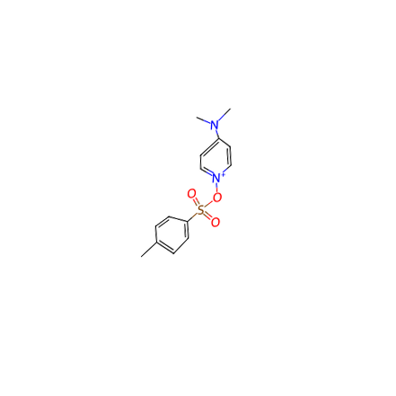 Cc1ccc(S(=O)(=O)O[n+]2ccc(N(C)C)cc2)cc1